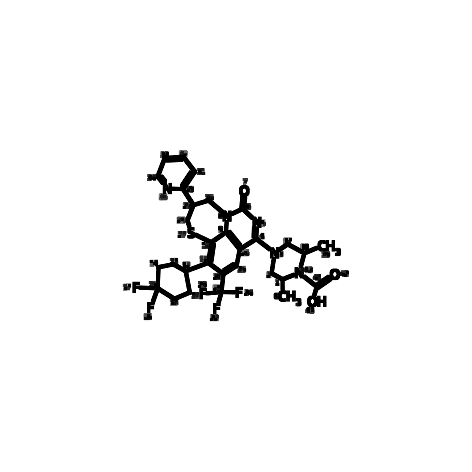 CC1CN(c2nc(=O)n3c4c(c(C5CCC(F)(F)CC5)c(C(F)(F)F)cc24)SCC(c2ccccn2)C3)CC(C)N1C(=O)O